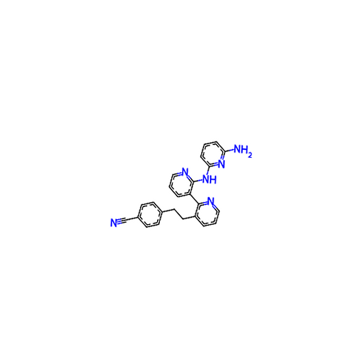 N#Cc1ccc(CCc2cccnc2-c2cccnc2Nc2cccc(N)n2)cc1